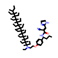 CCCC(NC(=O)/C(C#N)=C/c1ncc[nH]1)c1ccc(OCCN(CC)C(C)(CC)C(C)(CC)C(C)(CC)C(C)(CC)C(C)(CC)C(C)(CC)C(C)(CC)C(C)(CC)C(C)(CC)C(C)(CC)C(C)(CC)C(C)(CC)C(C)CC)cc1